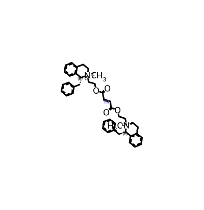 C[N@@+]1(CCOC(=O)/C=C/C(=O)OCC[N@+]2(C)CCc3ccccc3[C@H]2Cc2ccccc2)CCc2ccccc2[C@H]1Cc1ccccc1